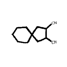 N#CC1CC2(CCCCC2)CC1C#N